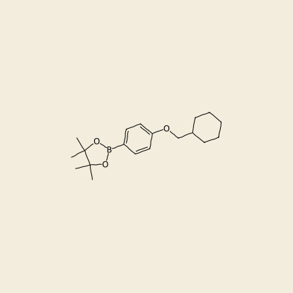 CC1(C)OB(c2ccc(OCC3CCCCC3)cc2)OC1(C)C